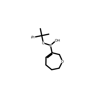 CC(C)C(C)(C)OB(O)C1=CCCCOC1